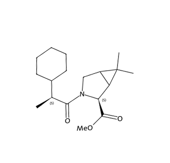 COC(=O)[C@@H]1C2C(CN1C(=O)[C@@H](C)C1CCCCC1)C2(C)C